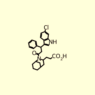 O=C(O)CCC1CC2CCCC(C2)N1C(=O)CC(c1ccccc1)c1c[nH]c2cc(Cl)ccc12